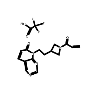 C=CC(=O)N1CC(CCn2c(=O)ccc3cncnc32)C1.O=C(O)C(F)(F)F